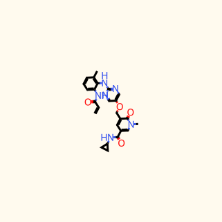 C=CC(=O)Nc1cccc(C)c1Nc1ncc(OCc2cc(C(=O)NC3CC3)cn(C)c2=O)cn1